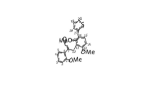 COc1ccccc1C(=C=O)Cc1c(OC)ccc(-c2cccs2)c1OC